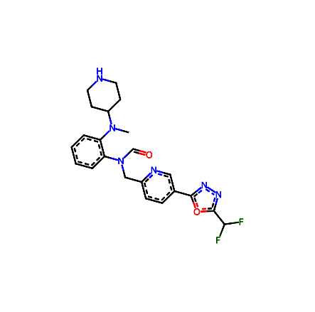 CN(c1ccccc1N(C=O)Cc1ccc(-c2nnc(C(F)F)o2)cn1)C1CCNCC1